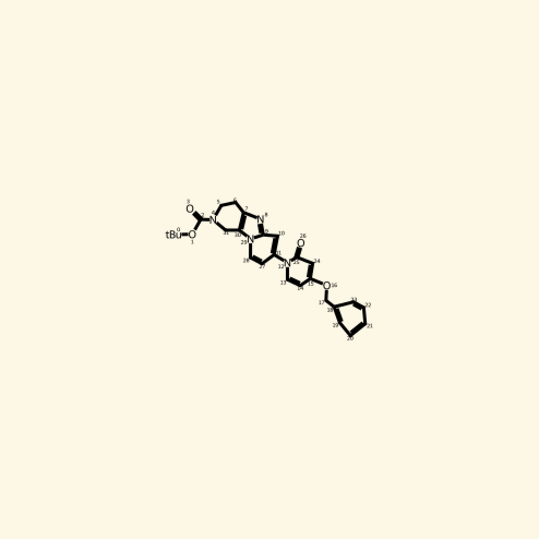 CC(C)(C)OC(=O)N1CCc2nc3cc(-n4ccc(OCc5ccccc5)cc4=O)ccn3c2C1